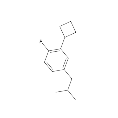 CC(C)Cc1ccc(F)c(C2CCC2)c1